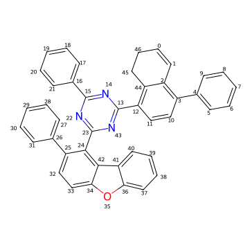 C1=Cc2c(-c3ccccc3)ccc(-c3nc(-c4ccccc4)nc(-c4c(-c5ccccc5)ccc5oc6ccccc6c45)n3)c2CC1